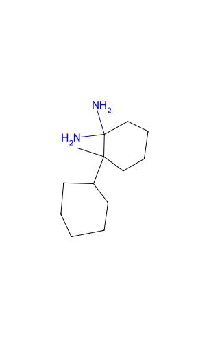 CC1(C2CCCCC2)CCCCC1(N)N